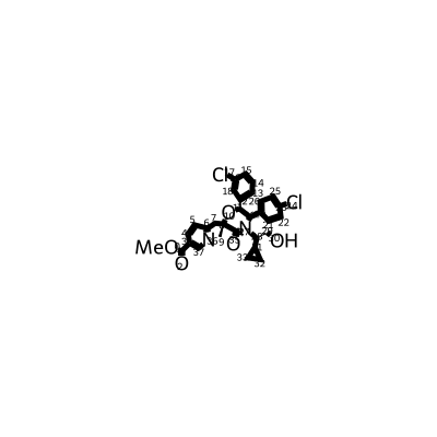 COC(=O)c1ccc(C[C@]2(C)O[C@H](c3cccc(Cl)c3)C(c3ccc(Cl)cc3)N([C@H](CO)C3CC3)C2=O)nc1